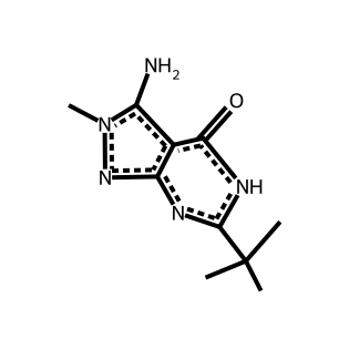 Cn1nc2nc(C(C)(C)C)[nH]c(=O)c2c1N